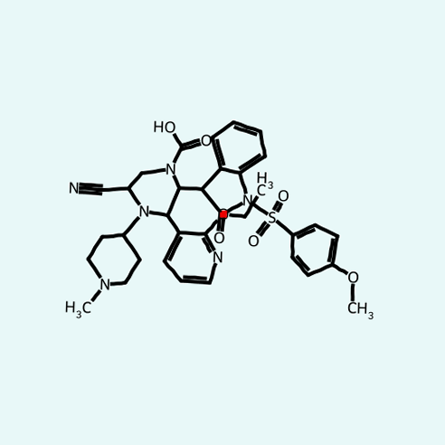 CCOc1ncccc1C1C(C2C(=O)N(S(=O)(=O)c3ccc(OC)cc3)c3ccccc32)N(C(=O)O)CC(C#N)N1C1CCN(C)CC1